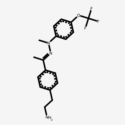 C/C(=N\N(C)c1ccc(OC(F)(F)F)cc1)c1ccc(CCN)cc1